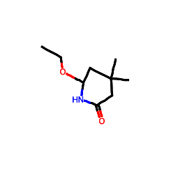 CCOC1CC(C)(C)CC(=O)N1